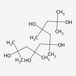 CC(C)(O)CC(C)(O)CC(C)(O)CC(C)(O)CC(C)(C)O